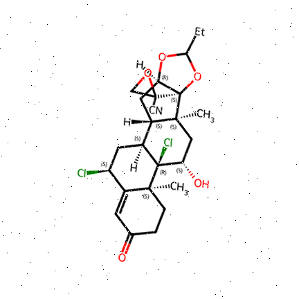 CCC1O[C@@H]2C[C@H]3[C@@H]4C[C@H](Cl)C5=CC(=O)CC[C@]5(C)[C@@]4(Cl)[C@@H](O)C[C@]3(C)[C@]2(C2(C#N)CO2)O1